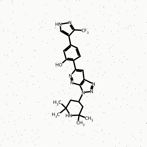 CC1(C)CC(n2nnc3cc(-c4ccc(-c5c[nH]nc5C(F)(F)F)cc4O)nnc32)CC(C)(C)N1